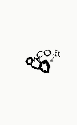 CCOC(=O)N1c2ccccc2C=Cc2ccccc21